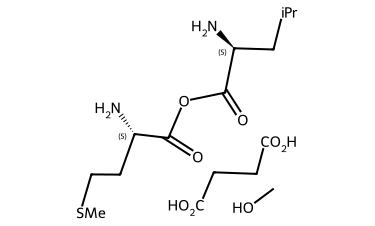 CO.CSCC[C@H](N)C(=O)OC(=O)[C@@H](N)CC(C)C.O=C(O)CCC(=O)O